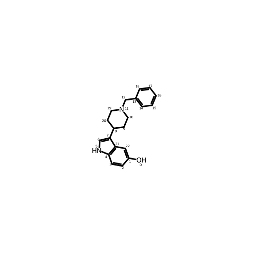 Oc1ccc2[nH]cc(C3CCN(Cc4ccccc4)CC3)c2c1